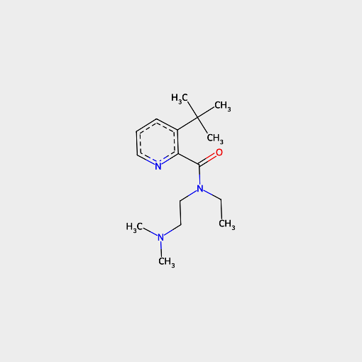 CCN(CCN(C)C)C(=O)c1ncccc1C(C)(C)C